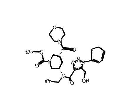 CC(C)CN(C(=O)c1nnn(C2=CC=CCC2)c1CO)[C@H]1C[C@@H](C(=O)N2CCOCC2)CN(C(=O)OC(C)(C)C)C1